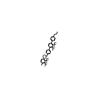 CCCc1ccc(-c2ccc(-c3ccc(COc4ccc(C)c(F)c4F)cc3)c(F)c2F)cc1